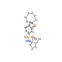 O=C(O)C1(NS(=O)(=O)c2ccc3c4c(oc3c2)CCCCCC4)CCCC1